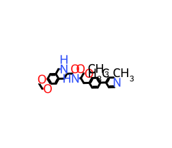 COC(=O)C(Cc1ccc(-c2ccnc(C)c2C)cc1)NC(=O)C1Cc2cc3c(cc2CN1)OCCO3